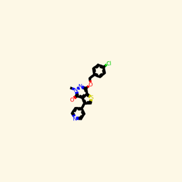 Cn1nc(OCc2ccc(Cl)cc2)c2scc(-c3ccncc3)c2c1=O